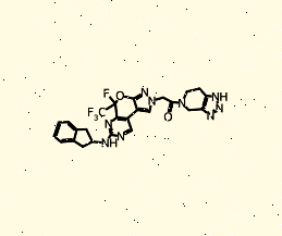 O=C(Cn1cc2c(n1)OC(F)(C(F)(F)F)c1nc(NC3Cc4ccccc4C3)ncc1-2)N1CCc2[nH]nnc2C1